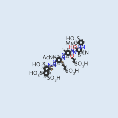 COc1c(S(=O)(=O)O)ccc2nc3c(C#N)c(C)c(N=Nc4cc(C)c(N=Nc5cc(NC(C)=O)c(N=Nc6nc7c(S(=O)(=O)O)cc8c(S(=O)(=O)O)cc(S(=O)(=O)O)cc8c7s6)cc5SCCCS(=O)(=O)O)cc4OCCCS(=O)(=O)O)c(O)n3c12